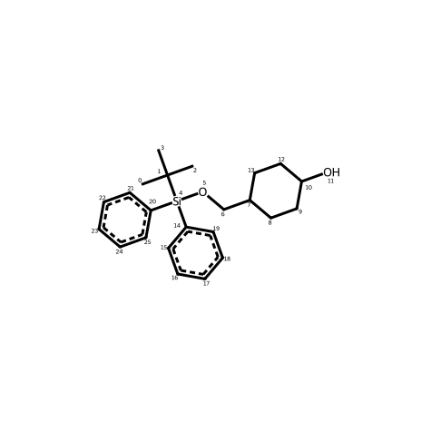 CC(C)(C)[Si](OCC1CCC(O)CC1)(c1ccccc1)c1ccccc1